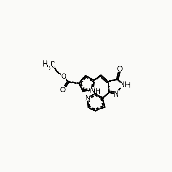 CCOC(=O)c1c[nH]c(/C=C2/C(=O)NN=C2c2cccnc2)c1